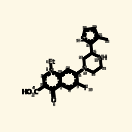 CCn1cc(C(=O)O)c(=O)c2cc(F)c(N3CCNC(c4sccc4C)C3)cc21